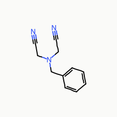 N#CCN(CC#N)Cc1ccccc1